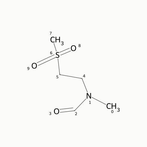 CN(C=O)CCS(C)(=O)=O